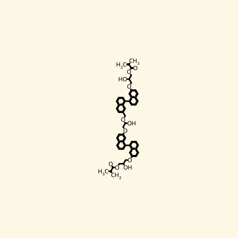 C=C(C)C(=O)OCC(O)COc1ccc2cccc(-c3cccc4ccc(COC(O)COc5ccc6cccc(-c7cccc8ccc(OCC(O)COC(=O)C(=C)C)cc78)c6c5)cc34)c2c1